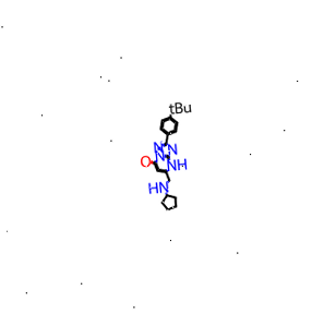 CC(C)(C)c1ccc(-c2nc3[nH]c(CNC4CCCC4)cc(=O)n3n2)cc1